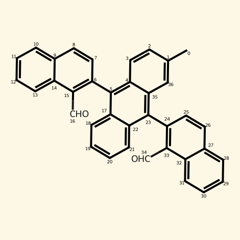 Cc1ccc2c(-c3ccc4ccccc4c3C=O)c3ccccc3c(-c3ccc4ccccc4c3C=O)c2c1